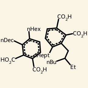 CCCCCCCCCCc1c(CCCCCC)ccc(C(=O)O)c1C(=O)O.CCCCCCCc1ccc(C(=O)O)c(C(=O)O)c1CC(CC)CCCC